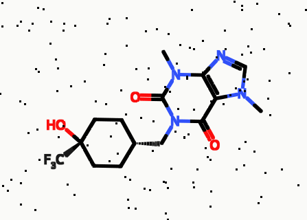 Cn1cnc2c1c(=O)n(C[C@H]1CC[C@](O)(C(F)(F)F)CC1)c(=O)n2C